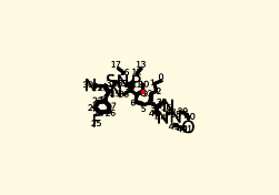 CCC/C=C(/C=C\C1=C(C)CP(CC)C(N(CC)c2nc(-c3ccc(F)cc3)c(C#N)s2)=C1C)c1cnc(N2CCOCC2)nc1